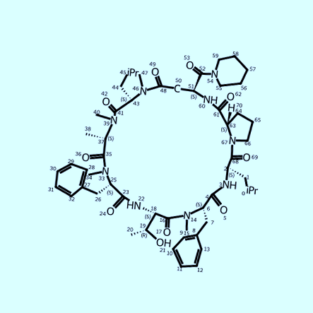 CC(C)C[C@@H]1NC(=O)[C@H](Cc2ccccc2)N(C)C(=O)[C@H]([C@@H](C)O)NC(=O)[C@H](Cc2ccccc2)N(C)C(=O)[C@H](C)N(C)C(=O)[C@H](CC(C)C)N(C)C(=O)C[C@@H](C(=O)N2CCCCC2)NC(=O)[C@@H]2CCCN2C1=O